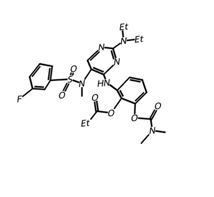 CCC(=O)Oc1c(Nc2nc(N(CC)CC)ncc2N(C)S(=O)(=O)c2cccc(F)c2)cccc1OC(=O)N(C)C